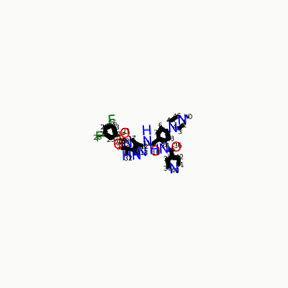 CN1CCN(c2ccc(C(=O)Nc3n[nH]c4c3CN(S(=O)(=O)c3cc(F)cc(F)c3)C4(C)C)c(NC(=O)c3ccncc3)c2)CC1